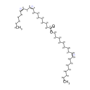 CCCCC/C=C\C/C=C\CCCCCCCC(=O)OCCCCCCCC/C=C\CCCCCCCC